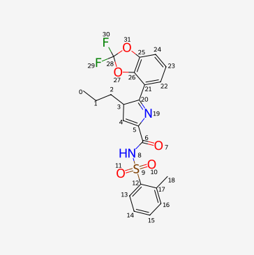 CCCC1C=C(C(=O)NS(=O)(=O)c2ccccc2C)N=C1c1cccc2c1OC(F)(F)O2